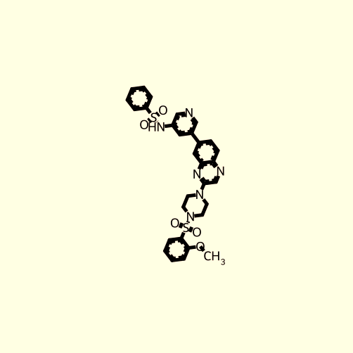 COc1ccccc1S(=O)(=O)N1CCN(c2cnc3ccc(-c4cncc(NS(=O)(=O)c5ccccc5)c4)cc3n2)CC1